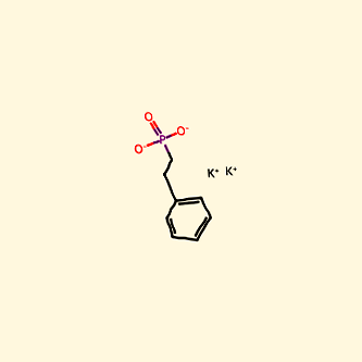 O=P([O-])([O-])CCc1ccccc1.[K+].[K+]